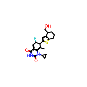 CC1=c2c(c(=O)[nH]c(=O)n2C2CC2)=CC(F)C1c1cc2c(s1)CCCC2CO